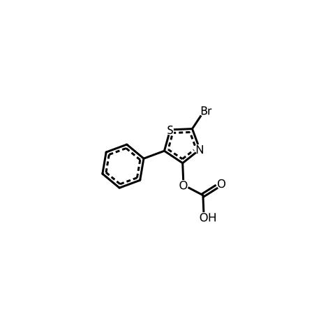 O=C(O)Oc1nc(Br)sc1-c1ccccc1